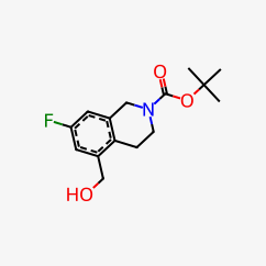 CC(C)(C)OC(=O)N1CCc2c(CO)cc(F)cc2C1